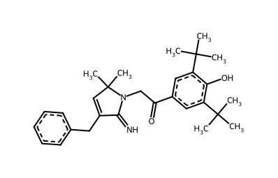 CC(C)(C)c1cc(C(=O)CN2C(=N)C(Cc3ccccc3)=CC2(C)C)cc(C(C)(C)C)c1O